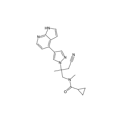 CN(CC(C)(CC#N)n1cc(-c2ccnc3[nH]ccc23)cn1)C(=O)C1CC1